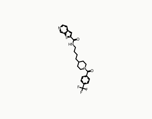 O=C(NCCCCC1CCN(C(=O)c2ccc(C(F)(F)F)cc2)CC1)c1cc2ccncc2s1